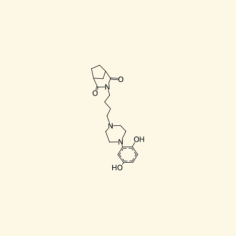 O=C1C2CCC(C2)C(=O)N1CCCCN1CCN(c2cc(O)ccc2O)CC1